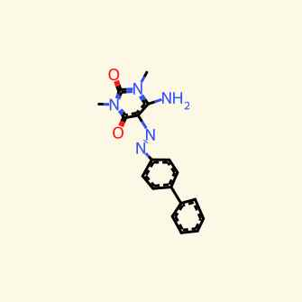 Cn1c(N)c(/N=N/c2ccc(-c3ccccc3)cc2)c(=O)n(C)c1=O